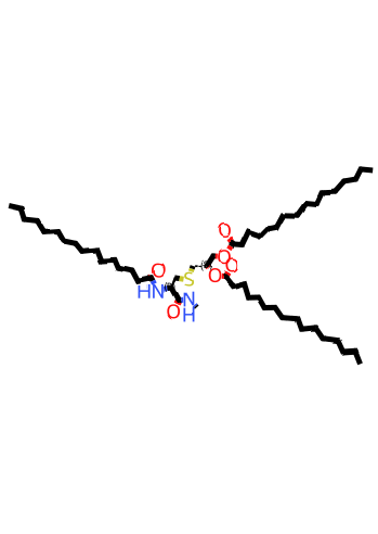 CCCCCCCCCCCCCCCC(=O)N[C@@H](CSC[C@H](COC(=O)CCCCCCCCCCCCCCC)OC(=O)CCCCCCCCCCCCCCC)C(=O)NC